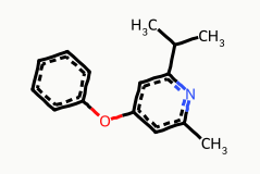 Cc1cc(Oc2ccccc2)cc(C(C)C)n1